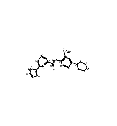 COc1cc(C2CCOCC2)ccc1NC(=O)c1cccc(-c2ccn[nH]2)n1